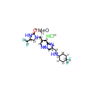 COC[C@H](c1cnn2cc(CNC3CCC(F)(F)CC3)nc2c1)N1C[C@@H](C(F)F)NC1=O.Cl